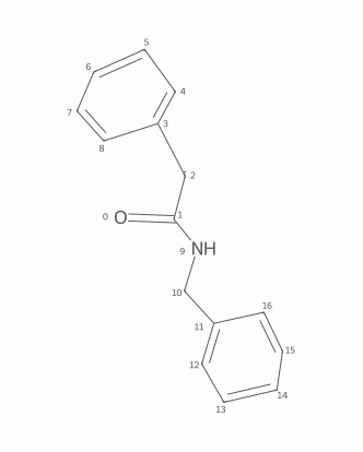 O=C([CH]c1ccccc1)NCc1ccccc1